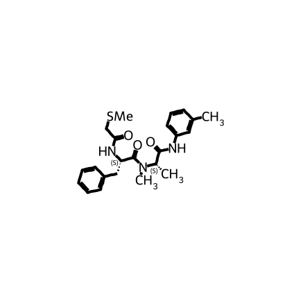 CSCC(=O)N[C@@H](Cc1ccccc1)C(=O)N(C)[C@@H](C)C(=O)Nc1cccc(C)c1